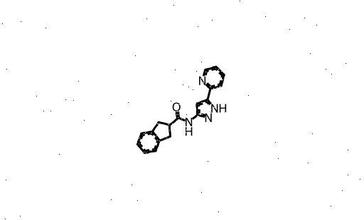 O=C(Nc1cc(-c2ccccn2)[nH]n1)C1Cc2ccccc2C1